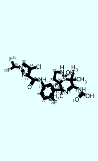 CC1(C)C(NC(=O)O)=N[C@](C)(c2cc(NC(=O)c3nn(C(F)F)cc3Cl)ccc2F)[C@@H]2CCNS21O